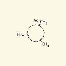 C=C1CCC=C(C)CCC=C(C)CCC1C(C)=O